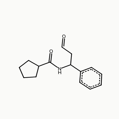 O=CCC(NC(=O)C1CCCC1)c1ccccc1